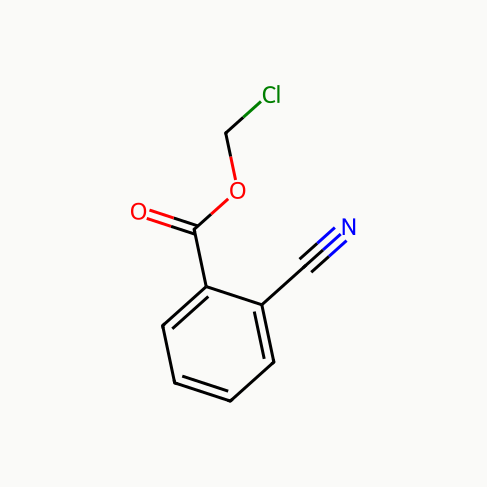 N#Cc1ccccc1C(=O)OCCl